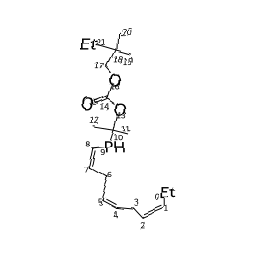 CC/C=C\C/C=C\C/C=C\PC(C)(C)OC(=O)OCC(C)(C)CC